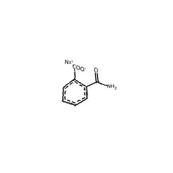 NC(=O)c1ccccc1C(=O)[O-].[Na+]